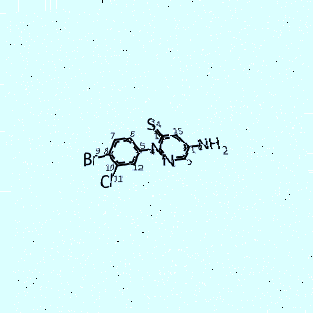 Nc1cnn(-c2ccc(Br)c(Cl)c2)c(=S)c1